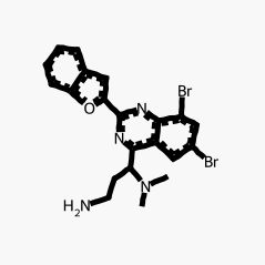 CN(C)C(CCN)c1nc(-c2cc3ccccc3o2)nc2c(Br)cc(Br)cc12